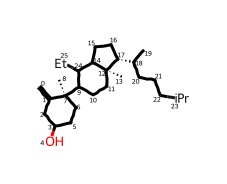 C=C1CC(O)CC[C@]1(C)C1CC[C@@]2(C)C(CC[C@@H]2C(C)CCCC(C)C)C1CC